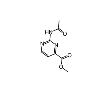 COC(=O)c1ccnc(NC(C)=O)n1